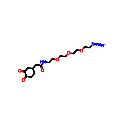 [N-]=[N+]=NCCOCCOCCOCCNC(=O)CC1CCC(=O)C(=O)C1